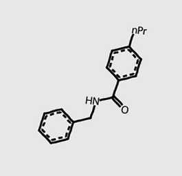 [CH2]CCc1ccc(C(=O)NCc2ccccc2)cc1